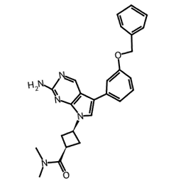 CN(C)C(=O)[C@H]1C[C@@H](n2cc(-c3cccc(OCc4ccccc4)c3)c3cnc(N)nc32)C1